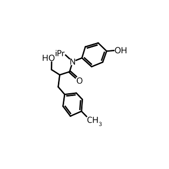 Cc1ccc(CC(CO)C(=O)N(c2ccc(O)cc2)C(C)C)cc1